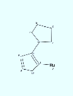 [Ru][C]1=C(C2CCCC2)C=CC1